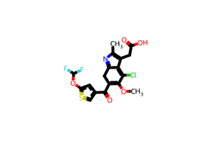 COC1=C(C(=O)c2csc(OC(F)F)c2)CC2=NC(C)=C(CC(=O)O)C2=C1Cl